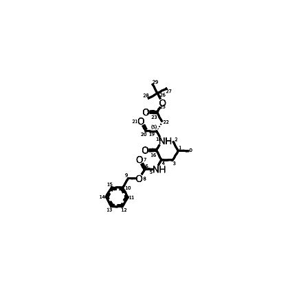 CC(C)CC(NC(=O)OCc1ccccc1)C(=O)N[C@H](C=O)CC(=O)OC(C)(C)C